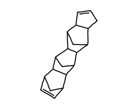 C1=CC2C(C1)C1CC2C2C3CC(C4C5C=CC(C5)C34)C12